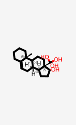 C[C@]12CCCCC1=CC[C@@H]1[C@@H]2CC[C@]2(C(O)(O)O)C(O)CC[C@@H]12